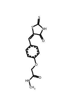 CNC(=O)COc1ccc(/C=C2/SC(=S)NC2=O)cc1